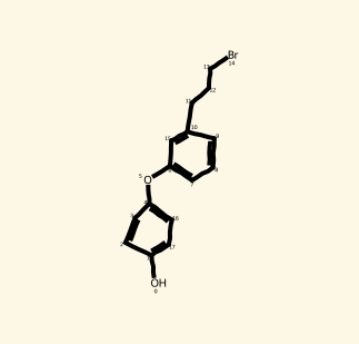 Oc1ccc(Oc2cccc(CCCBr)c2)cc1